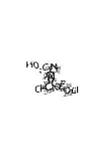 O=C(O)c1nccc2c1ccn2Cc1cc(Cl)ccc1OCc1ccc(Cl)cc1F